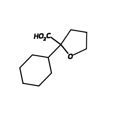 O=C(O)C1(C2CCCCC2)CCCO1